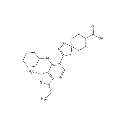 CCn1nc(C)c2c(NC3CCCCC3)c(C3=NOC4(CCC(C(=O)O)CC4)C3)cnc21